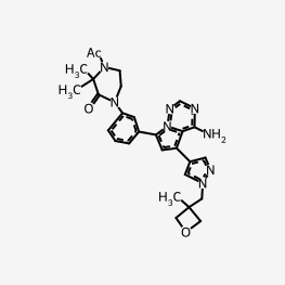 CC(=O)N1CCN(c2cccc(-c3cc(-c4cnn(CC5(C)COC5)c4)c4c(N)ncnn34)c2)C(=O)C1(C)C